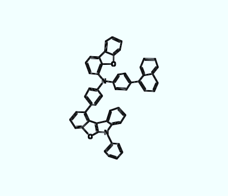 c1ccc(-n2c3ccccc3c3c4c(-c5ccc(N(c6ccc(-c7cccc8ccccc78)cc6)c6cccc7c6oc6ccccc67)cc5)cccc4oc32)cc1